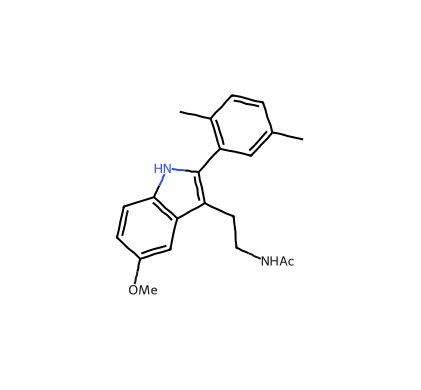 COc1ccc2[nH]c(-c3cc(C)ccc3C)c(CCNC(C)=O)c2c1